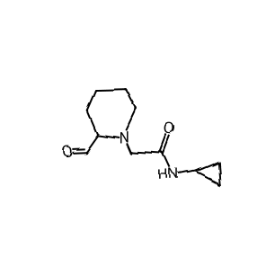 O=CC1CCCCN1CC(=O)NC1CC1